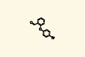 O=Cc1ccccc1Oc1ccc(Br)cc1